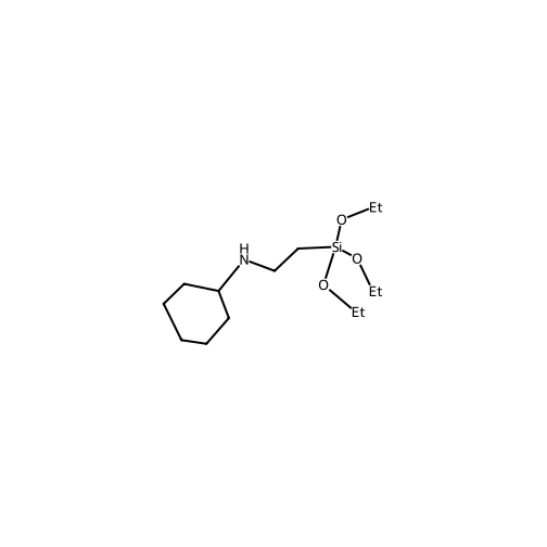 CCO[Si](CCNC1CCCCC1)(OCC)OCC